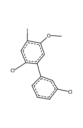 COc1cc(-c2cccc(Cl)c2)c(Cl)cc1I